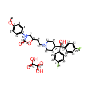 COc1ccc(N2CC(CCN3CCC(C(O)(c4ccc(F)cc4)c4ccc(F)cc4)CC3)OC2=O)cc1.O=C(O)C(=O)O